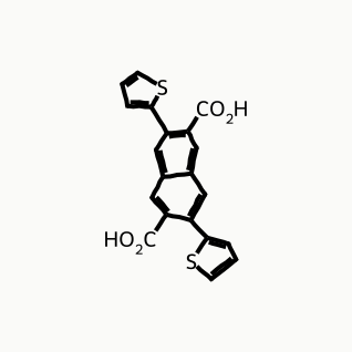 O=C(O)c1cc2cc(-c3cccs3)c(C(=O)O)cc2cc1-c1cccs1